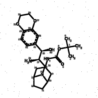 CC(C)(C)OC(=O)NC1CC2CCC(C1)N2C[C@@H](N)[C@H](O)c1ccc2c(c1)OCCO2